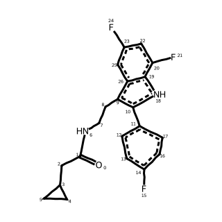 O=C(CC1CC1)NCCc1c(-c2ccc(F)cc2)[nH]c2c(F)cc(F)cc12